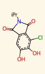 CC(C)N1C(=O)c2cc(O)c(O)c(Cl)c2C1=O